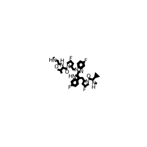 CNCC(=O)NC(C(=O)N1CC(F)CC1Cn1c(-c2[nH]c3cc(F)ccc3c2CC2CC(F)CN2C(=O)C(NC)C2CC2)nc2cc(F)ccc21)C(C)C